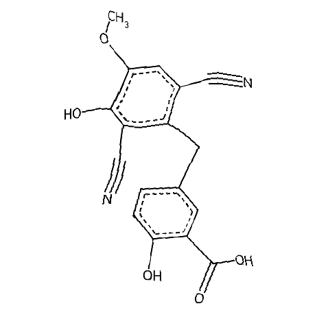 COc1cc(C#N)c(Cc2ccc(O)c(C(=O)O)c2)c(C#N)c1O